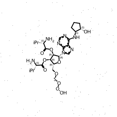 CC(C)[C@H](N)C(=O)O[C@@H]1[C@H](OC(=O)[C@@H](N)C(C)C)[C@@H](COSOOO)O[C@H]1n1cnc2c(N[C@H]3CCC[C@@H]3O)ncnc21